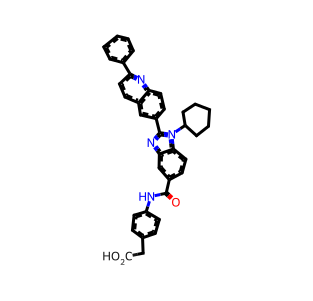 O=C(O)Cc1ccc(NC(=O)c2ccc3c(c2)nc(-c2ccc4nc(-c5ccccc5)ccc4c2)n3C2CCCCC2)cc1